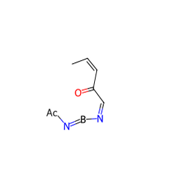 C/C=C\C(=O)/C=N\B=N/C(C)=O